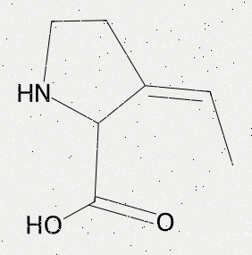 CC=C1CCNC1C(=O)O